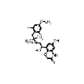 COc1cc(F)c(CC(C)(C)NCC(O)c2cc(O)cc3c2OCC(=O)N3)c(F)c1